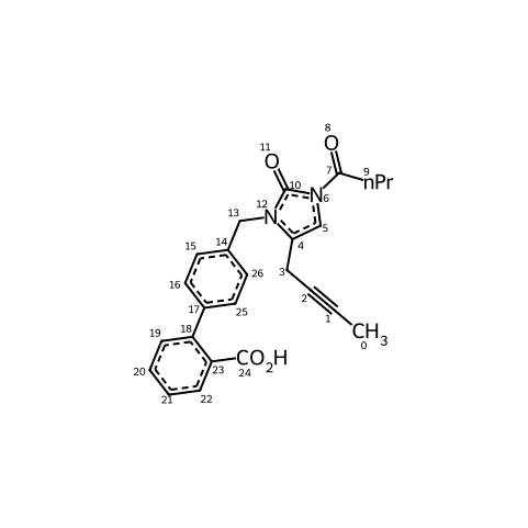 CC#CCc1cn(C(=O)CCC)c(=O)n1Cc1ccc(-c2ccccc2C(=O)O)cc1